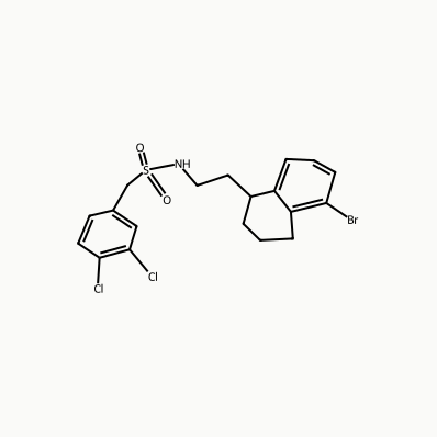 O=S(=O)(Cc1ccc(Cl)c(Cl)c1)NCCC1CCCc2c(Br)cccc21